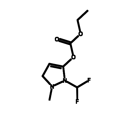 CCOC(=O)OC1=CCN(C)N1C(F)F